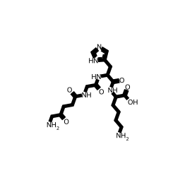 NCCCCC(NC(=O)C(Cc1cnc[nH]1)NC(=O)CNC(=O)CCC(=O)CN)C(=O)O